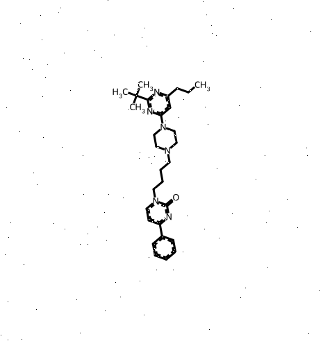 CCCc1cc(N2CCN(CCCCn3ccc(-c4ccccc4)nc3=O)CC2)nc(C(C)(C)C)n1